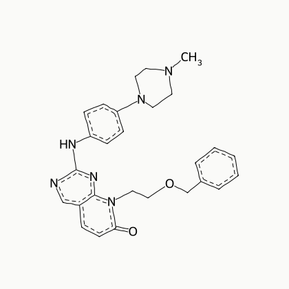 CN1CCN(c2ccc(Nc3ncc4ccc(=O)n(CCOCc5ccccc5)c4n3)cc2)CC1